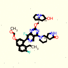 CCc1c(F)ccc2cc(OCOC)cc(-c3ncc4c(N5CCC[C@]6(CNC(=O)C6)C5)nc(OC[C@]56CCCN5C[C@@H](O)C6)nc4c3F)c12